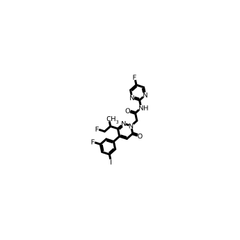 CC(CF)c1nn(CC(=O)Nc2ncc(F)cn2)c(=O)cc1-c1cc(F)cc(I)c1